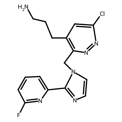 NCCCc1cc(Cl)nnc1Cn1ccnc1-c1cccc(F)n1